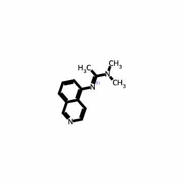 C/C(=N\c1cccc2cnccc12)N(C)C